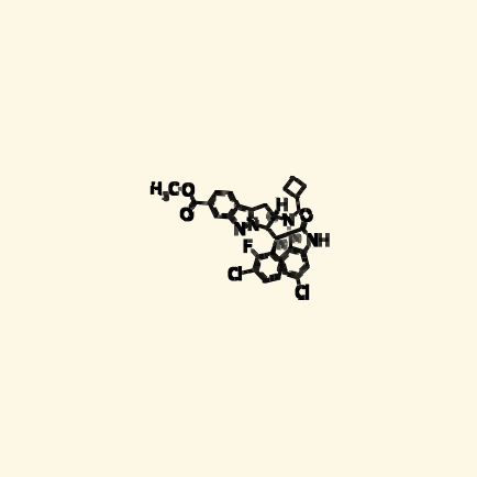 COC(=O)c1ccc2c3n(nc2c1)C1[C@H](C3)N(CC2CCC2)[C@@]2(C(=O)Nc3cc(Cl)ccc32)[C@H]1c1cccc(Cl)c1F